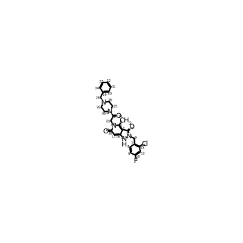 Cc1c2c(=O)n(Cc3ccc(F)cc3Cl)[nH]c2cc(=O)n1CC(=O)N1CCN(Cc2ccccc2)CC1